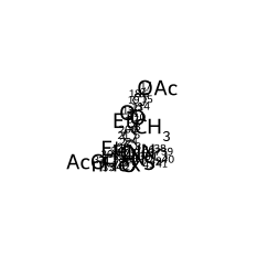 CCCCCCN(NCc1cc(C(C)(CC)OC(=O)C2CCC(OC(C)=O)CC2)ccc1C(CC)OC(=O)C1CCC(OC(C)=O)CC1)c1nc2ccccc2s1